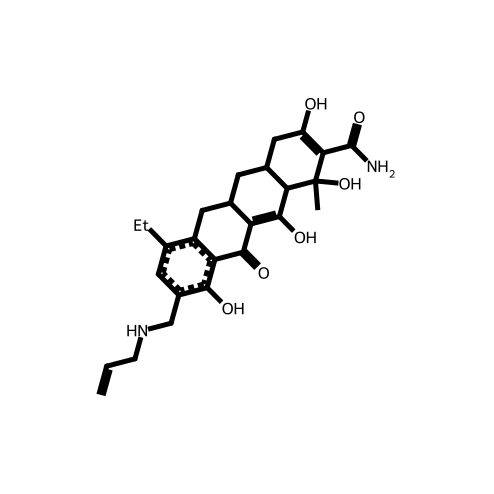 C=CCNCc1cc(CC)c2c(c1O)C(=O)C1=C(O)C3C(CC(O)=C(C(N)=O)C3(C)O)CC1C2